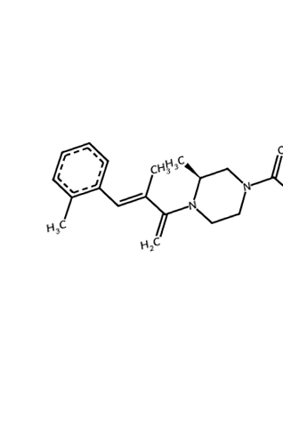 C=C(C(C)C)N1CCN(C(=C)/C(C)=C/c2ccccc2C)[C@@H](C)C1